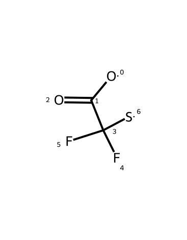 [O]C(=O)C(F)(F)[S]